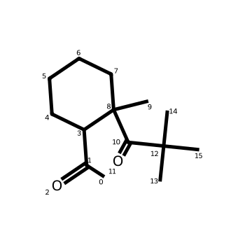 CC(=O)C1CCCCC1(C)C(=O)C(C)(C)C